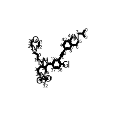 CC(C)CN1CCc2cc(C#Cc3cc(-c4nn(CCCN5CCOCC5)c5c4CN(S(C)(=O)=O)CC5)ccc3Cl)ccc2C1